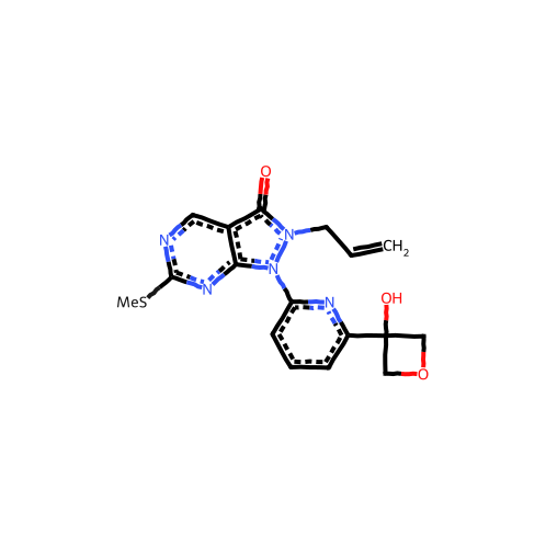 C=CCn1c(=O)c2cnc(SC)nc2n1-c1cccc(C2(O)COC2)n1